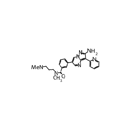 CNCCCN(C)C(=O)c1cccc(-c2cnc3c(-c4ccccn4)c(N)nn3c2)c1